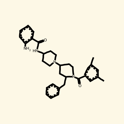 Cc1cc(C)cc(C(=O)N2CCC(N3CCC(NC(=O)c4ccccc4N)CC3)CC2Cc2ccccc2)c1